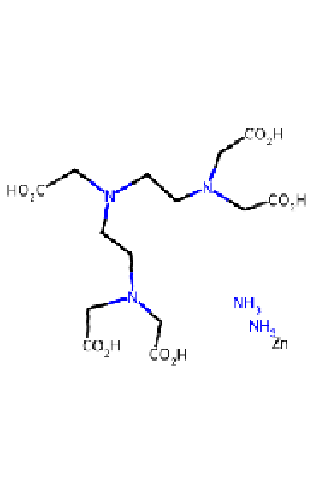 N.N.O=C(O)CN(CCN(CC(=O)O)CC(=O)O)CCN(CC(=O)O)CC(=O)O.[Zn]